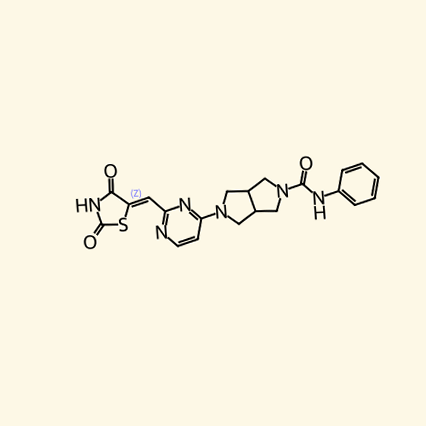 O=C1NC(=O)/C(=C/c2nccc(N3CC4CN(C(=O)Nc5ccccc5)CC4C3)n2)S1